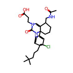 CC(=O)NCC1CCCC2(c3ccc(CCCC(C)(C)C)c(Cl)c3)NC(=O)N(CCC(=O)O)C=C12